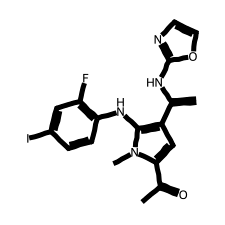 C=C(Nc1ncco1)c1cc(C(C)=O)n(C)c1Nc1ccc(I)cc1F